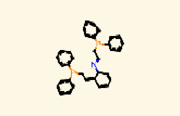 C1=CC(=CCP(c2ccccc2)c2ccccc2)C(N=CCP(c2ccccc2)c2ccccc2)C=C1